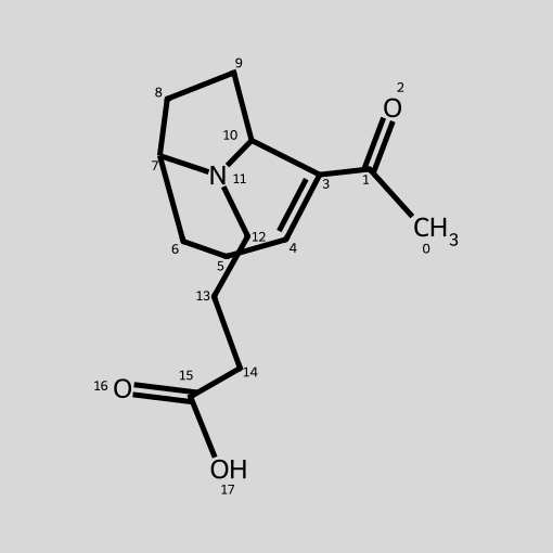 CC(=O)C1=CCCC2CCC1N2CCCC(=O)O